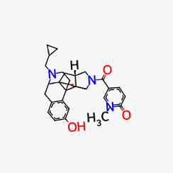 Cn1cc(C(=O)N2C[C@H]3CC45CCC2C3C42CCN(CC3CC3)C5Cc3ccc(O)cc32)ccc1=O